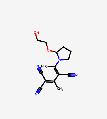 CC(=C(C#N)C#N)/C(C#N)=C(\C)N1CCCC1OCCO